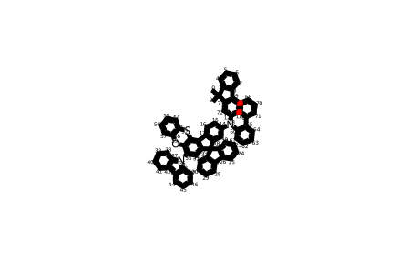 CC1(C)c2ccccc2-c2ccc(N(c3ccc4c(c3)C3(c5ccccc5-c5ccccc53)c3cc(-n5c6ccccc6c6ccccc65)c5c(c3-4)Sc3ccccc3O5)c3ccccc3-c3ccccc3)cc21